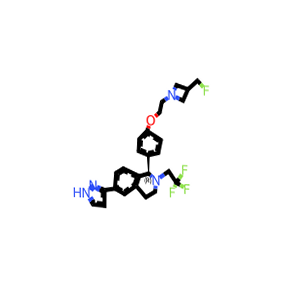 FCC1CN(CCOc2ccc([C@@H]3c4ccc(-c5cc[nH]n5)cc4CCN3CC(F)(F)F)cc2)C1